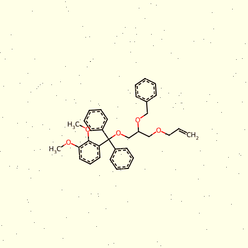 C=CCOCC(COC(c1ccccc1)(c1ccccc1)c1cccc(OC)c1OC)OCc1ccccc1